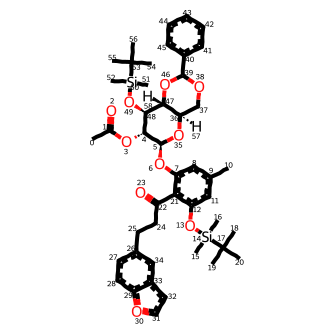 CC(=O)O[C@H]1[C@H](Oc2cc(C)cc(O[Si](C)(C)C(C)(C)C)c2C(=O)CCc2ccc3occc3c2)O[C@@H]2COC(c3ccccc3)O[C@H]2[C@@H]1O[Si](C)(C)C(C)(C)C